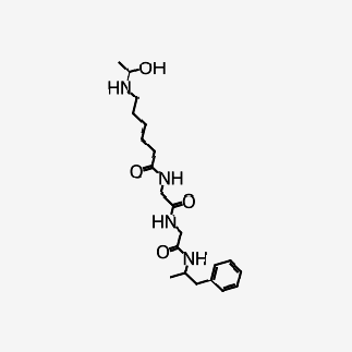 CC(O)NCCCCCC(=O)NCC(=O)NCC(=O)NC(C)Cc1ccccc1